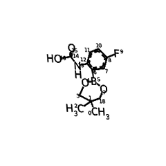 CC1(C)COB(c2cc(F)ccc2NC(=O)O)OC1